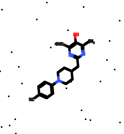 Cc1nc(CC2CCN(c3ccc(C#N)cc3)CC2)nc([C]=O)c1O